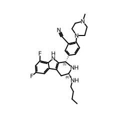 CCCCN[C@H]1Cc2c([nH]c3c(F)cc(F)cc23)[C@H](c2ccc(N3CCN(C)CC3)c(C#N)c2)N1